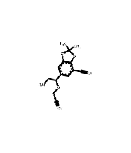 C#CCOC(CN)c1cc(C#C)c2c(c1)OC(C)(C)O2